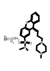 CN1CCN(CC/C=C2/c3ccccc3Sc3ccc(S(=O)(=O)N(C)C)cc32)CC1.Cl.Cl.O.O